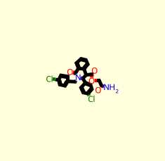 NC(=O)COC(=O)C1c2ccccc2C(=O)N(Cc2ccc(Cl)cc2)C1c1ccc(Cl)cc1